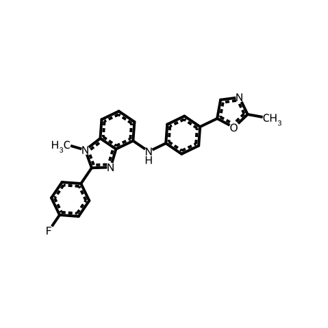 Cc1ncc(-c2ccc(Nc3cccc4c3nc(-c3ccc(F)cc3)n4C)cc2)o1